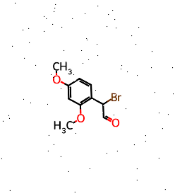 COc1ccc(C(Br)C=O)c(OC)c1